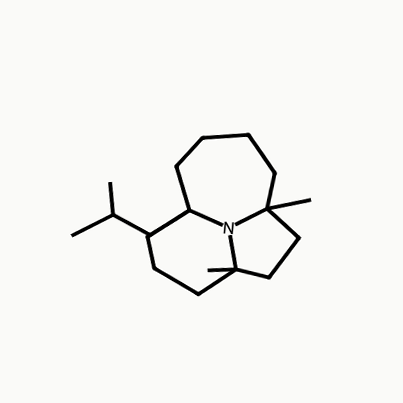 CC(C)CC12CCCCC3(C)CCC(C)(CCC1)N32